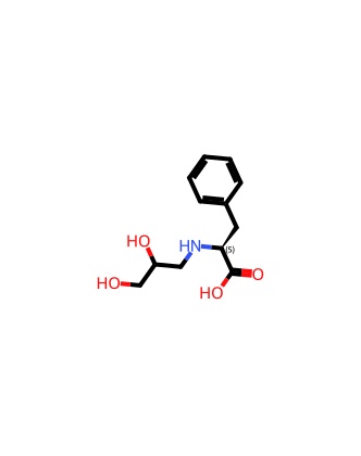 O=C(O)[C@H](Cc1ccccc1)NCC(O)CO